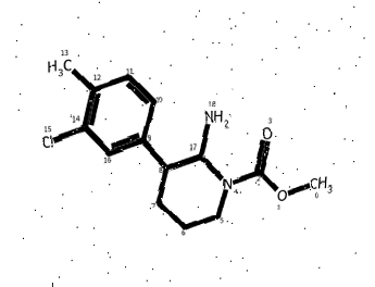 COC(=O)N1CCCC(c2ccc(C)c(Cl)c2)C1N